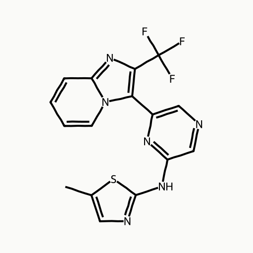 Cc1cnc(Nc2cncc(-c3c(C(F)(F)F)nc4ccccn34)n2)s1